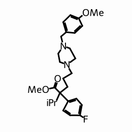 COC(=O)C(CCCN1CCN(Cc2ccc(OC)cc2)CC1)(c1ccc(F)cc1)C(C)C